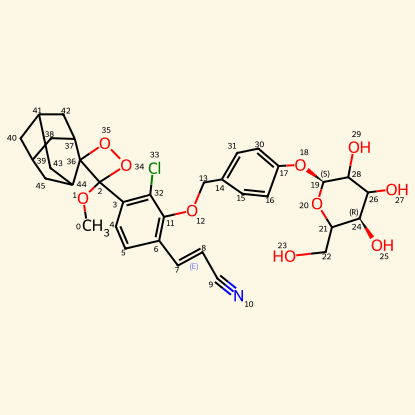 COC1(c2ccc(/C=C/C#N)c(OCc3ccc(O[C@@H]4OC(CO)[C@H](O)C(O)C4O)cc3)c2Cl)OOC12C1CC3CC(C1)CC2C3